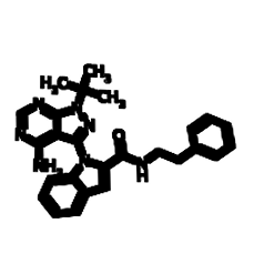 CC(C)(C)n1nc(-n2c(C(=O)NCCc3ccccc3)cc3ccccc32)c2c(N)ncnc21